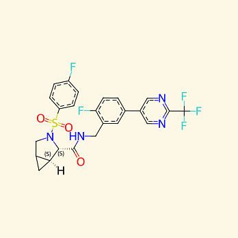 O=C(NCc1cc(-c2cnc(C(F)(F)F)nc2)ccc1F)[C@@H]1[C@H]2CC2CN1S(=O)(=O)c1ccc(F)cc1